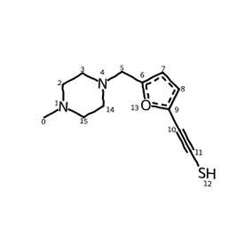 CN1CCN(Cc2ccc(C#CS)o2)CC1